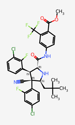 COC(=O)c1ccc(NC(=O)[C@@H]2N[C@@H](CC(C)(C)C)[C@](C#N)(c3ccc(Cl)cc3F)[C@H]2c2cccc(Cl)c2F)cc1C(F)(F)F